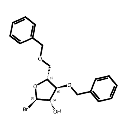 O[C@H]1[C@H](OCc2ccccc2)[C@@H](COCc2ccccc2)O[C@@H]1Br